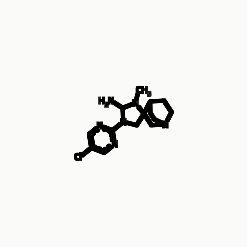 CN1C(N)N(c2ncc(Cl)cn2)CC12CN1CCC2CC1